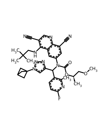 COC[C@@H](C)OC(=O)N(c1cc(C#N)c2ncc(C#N)c(NCC(C)(C)C)c2c1)C(c1cn(C23CC(C2)C3)nn1)c1ccc(F)nc1C